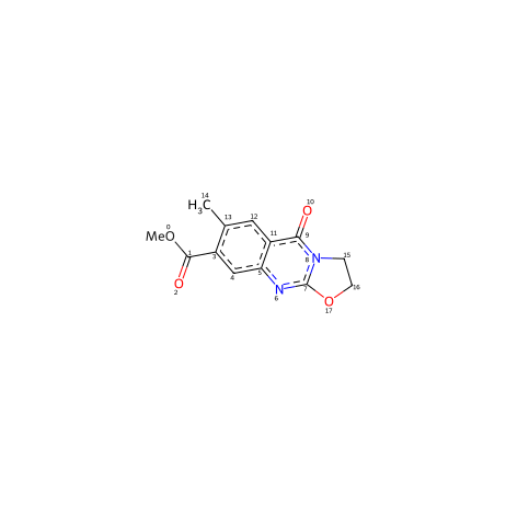 COC(=O)c1cc2nc3n(c(=O)c2cc1C)CCO3